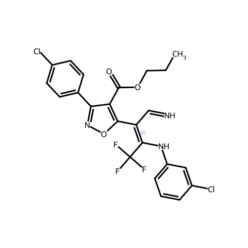 CCCOC(=O)c1c(-c2ccc(Cl)cc2)noc1/C(C=N)=C(/Nc1cccc(Cl)c1)C(F)(F)F